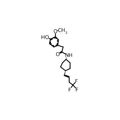 COc1cc(CC(=O)N[C@H]2CC[C@H](/C=C/CC(F)(F)F)CC2)ccc1O